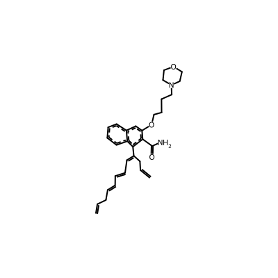 C=CCC=CC=CC=C(CC=C)c1c(C(N)=O)c(OCCCCN2CCOCC2)cc2ccccc12